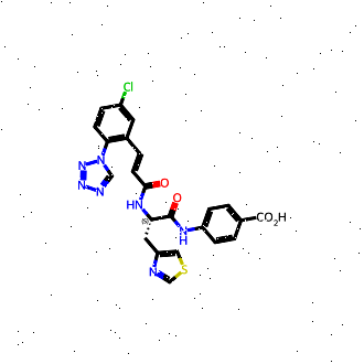 O=C(C=Cc1cc(Cl)ccc1-n1cnnn1)N[C@@H](Cc1cscn1)C(=O)Nc1ccc(C(=O)O)cc1